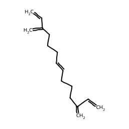 C=CC(=C)CCCC=CCCCC(=C)C=C